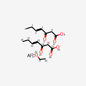 CCC=CC(=O)CC(=O)[O-].CCC=CC(=O)CC(=O)[O-].CC[O][Al+2]